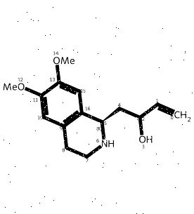 C=CC(O)C[C@H]1NCCc2cc(OC)c(OC)cc21